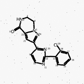 O=C1NCCn2nc(-c3ccnc(-c4ccccc4Cl)n3)cc21